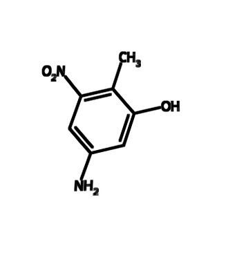 Cc1c(O)cc(N)cc1[N+](=O)[O-]